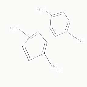 [C-]#[N+]c1ccc(C)cc1.[C-]#[N+]c1ccc(C)cc1.[Pd]